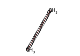 COCCOCCCOCCCOCCCOCCCOCCCOCCCOCCCOCCCOCCCOCCCOCCCOCCCOCCCOCCCOCCCOCCCOCCCOCCOCCOC